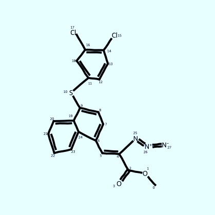 COC(=O)/C(=C/c1ccc(Sc2ccc(Cl)c(Cl)c2)c2ccccc12)N=[N+]=[N-]